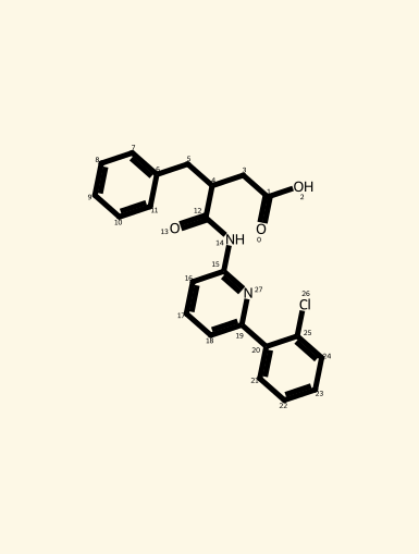 O=C(O)CC(Cc1ccccc1)C(=O)Nc1cccc(-c2ccccc2Cl)n1